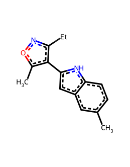 CCc1noc(C)c1-c1cc2cc(C)ccc2[nH]1